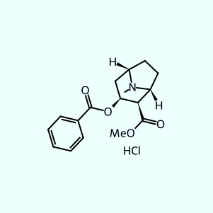 COC(=O)[C@H]1[C@@H](OC(=O)c2ccccc2)C[C@@H]2CC[C@H]1N2C.Cl